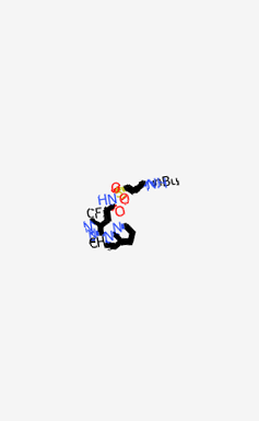 CCCCNC=CCS(=O)(=O)NC(=O)/C=C/c1c(C(F)(F)F)nn(C)c1-n1ccc2cccnc21